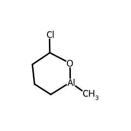 [CH3][Al]1[CH2]CCC(Cl)[O]1